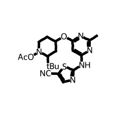 CC(=O)ON1CCC(Oc2cc(Nc3ncc(C#N)s3)nc(C)n2)CC1C(C)(C)C